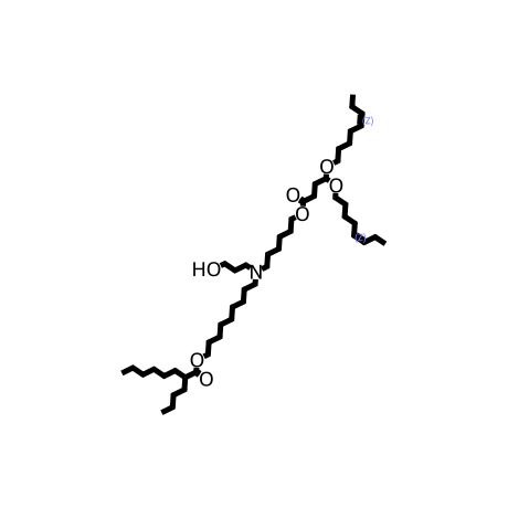 CC/C=C\CCCCOC(CCC(=O)OCCCCCCN(CCCO)CCCCCCCCCOC(=O)C(CCCC)CCCCCC)OCCCC/C=C\CC